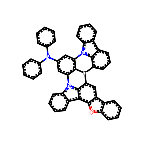 c1ccc(N(c2ccccc2)c2cc3c4c(c2)-n2c5ccccc5c5c6oc7ccccc7c6cc(c52)B4c2cccc4c5ccccc5n-3c24)cc1